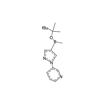 CB(OC(C)(C)C(C)(C)C)c1cnn(-c2cccnc2)c1